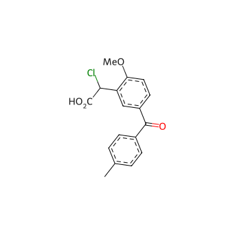 COc1ccc(C(=O)c2ccc(C)cc2)cc1C(Cl)C(=O)O